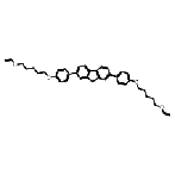 C=COCCCCCOc1ccc(-c2ccc3c(c2)Cc2cc(-c4ccc(OCCCCCOC=C)cc4)ccc2-3)cc1